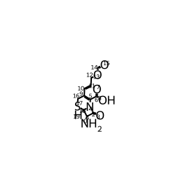 NC1C(=O)N2C(C(=O)O)=C(C=CCOC=O)CS[C@@H]12